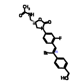 CC(=O)NC[C@H]1CN(c2ccc(/C=C(\Br)c3ccc(CO)cc3)c(F)c2)C(=O)O1